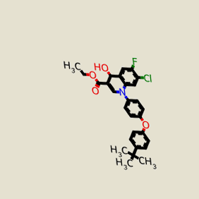 CCOC(=O)C1=CN(c2ccc(Oc3ccc(C(C)(C)C)cc3)cc2)c2cc(Cl)c(F)cc2C1O